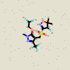 Cn1nc(C(F)(F)F)c(CS(=O)(=O)C2=NOC(C)(C)C2F)c1OCC(F)F